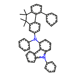 CC1(C)c2cc(N(c3ccccc3)c3cccc4c3c3ccccc3n4-c3ccccc3)ccc2-c2c(-c3ccccc3)cccc2C1(C)C